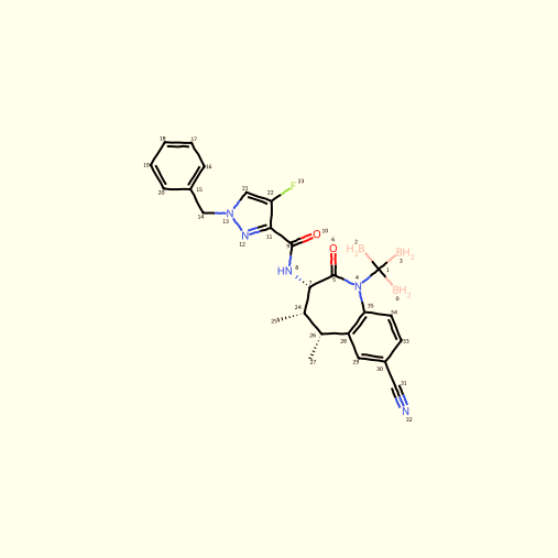 BC(B)(B)N1C(=O)[C@@H](NC(=O)c2nn(Cc3ccccc3)cc2F)[C@@H](C)[C@@H](C)c2cc(C#N)ccc21